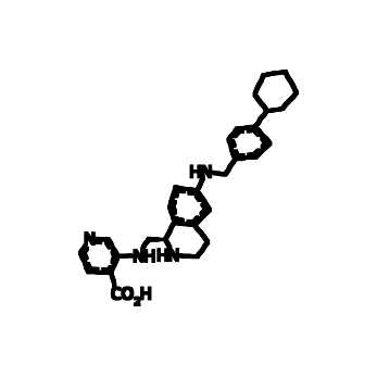 O=C(O)c1ccncc1NC[C@@H]1NCCc2cc(NCc3ccc(C4CCCCC4)cc3)ccc21